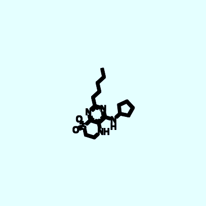 CCCCCc1nc(NC2CCCC2)c2c(n1)S(=O)(=O)CCN2